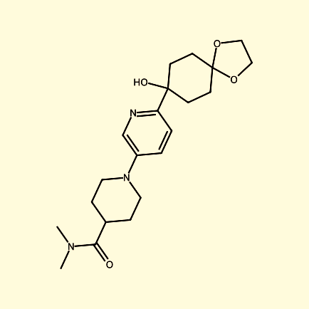 CN(C)C(=O)C1CCN(c2ccc(C3(O)CCC4(CC3)OCCO4)nc2)CC1